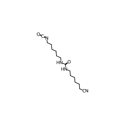 N#CCCCCCCNC(=O)NCCCCCCN=C=O